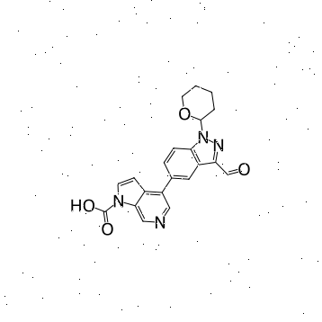 O=Cc1nn(C2CCCCO2)c2ccc(-c3cncc4c3ccn4C(=O)O)cc12